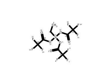 CC[Si](OC(=O)C(F)(F)F)(OC(=O)C(F)(F)F)OC(=O)C(F)(F)F